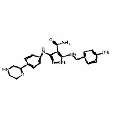 NC(=O)c1c(Nc2ccc(C3CNCCO3)cc2)n[nH]c1NCc1ccc(O)cc1